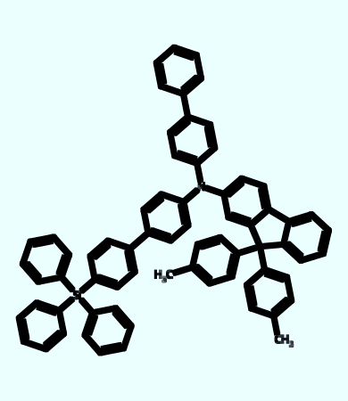 Cc1ccc(C2(c3ccc(C)cc3)c3ccccc3-c3ccc(N(c4ccc(-c5ccccc5)cc4)c4ccc(-c5ccc([Si](c6ccccc6)(c6ccccc6)c6ccccc6)cc5)cc4)cc32)cc1